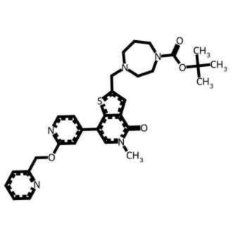 Cn1cc(-c2ccnc(OCc3ccccn3)c2)c2sc(CN3CCCN(C(=O)OC(C)(C)C)CC3)cc2c1=O